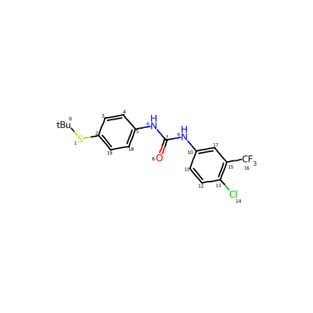 CC(C)(C)Sc1ccc(NC(=O)Nc2ccc(Cl)c(C(F)(F)F)c2)cc1